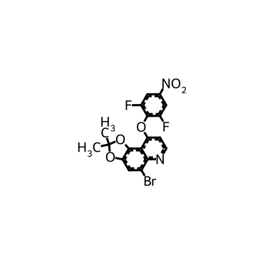 CC1(C)Oc2cc(Br)c3nccc(Oc4c(F)cc([N+](=O)[O-])cc4F)c3c2O1